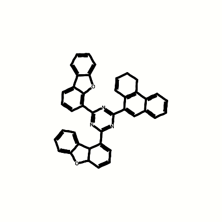 C1=CC2Oc3ccccc3C2C(c2nc(-c3cc4ccccc4c4c3C=CCC4)nc(-c3cccc4c3oc3ccccc34)n2)=C1